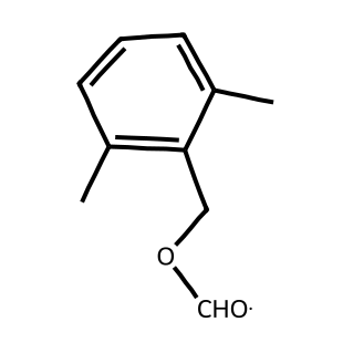 Cc1cccc(C)c1CO[C]=O